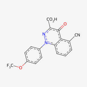 N#Cc1cccc2c1c(=O)c(C(=O)O)nn2-c1ccc(OC(F)(F)F)cc1